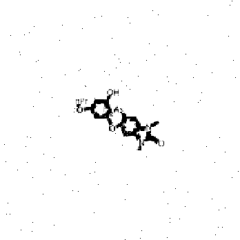 CCCOc1cc(O)cc(Oc2cc3c(cc2[AsH2])n(C)c(=O)n3C)c1